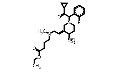 CCOC(=O)CCCN(C)CC=C1CN(C(C(=O)C2CC2)c2ccccc2F)CCC1S.Cl.Cl